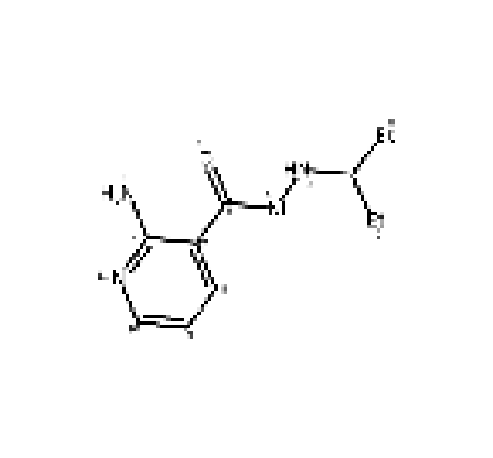 CCC(CC)NNC(=O)c1cccnc1N